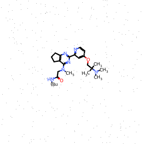 CN(CC(=O)NC(C)(C)C)c1nc(-c2cc(OCC(C)(C)N(C)C)ccn2)nc2c1CCC2